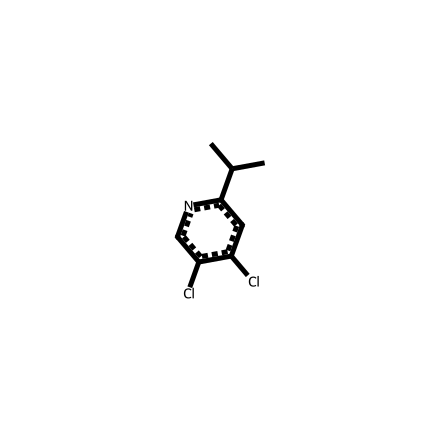 CC(C)c1cc(Cl)c(Cl)cn1